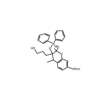 CCCCCc1ccc2c(c1)OC(C)(C)C(CCCO)(O[Si](c1ccccc1)(c1ccccc1)C(C)(C)C)C2C